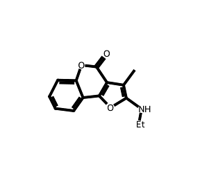 CCNc1oc2c(c1C)c(=O)oc1ccccc12